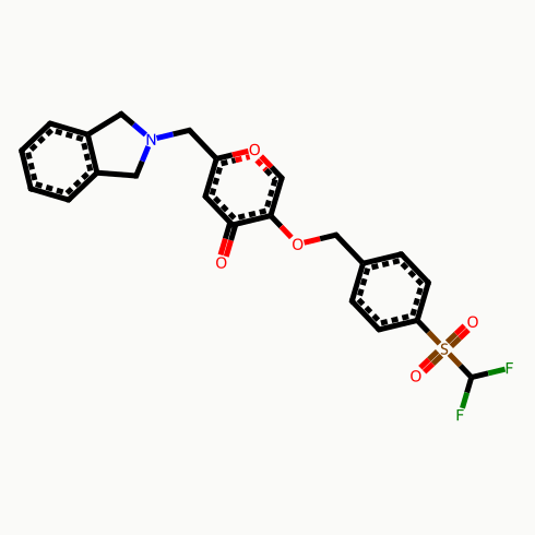 O=c1cc(CN2Cc3ccccc3C2)occ1OCc1ccc(S(=O)(=O)C(F)F)cc1